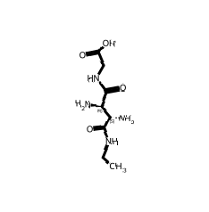 CCNC(=O)[C@@H](N)[C@@H](N)C(=O)NCC(=O)O